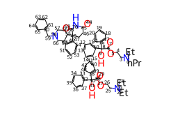 CCCN(CC)CCOC(=O)C(O)(c1ccccc1)c1ccccc1.CCN(CC)CCOC(=O)C(O)(c1ccccc1)c1ccccc1.O=C1CCC(c2ccccc2)(C2CCN(Cc3ccccc3)CC2)C(=O)N1